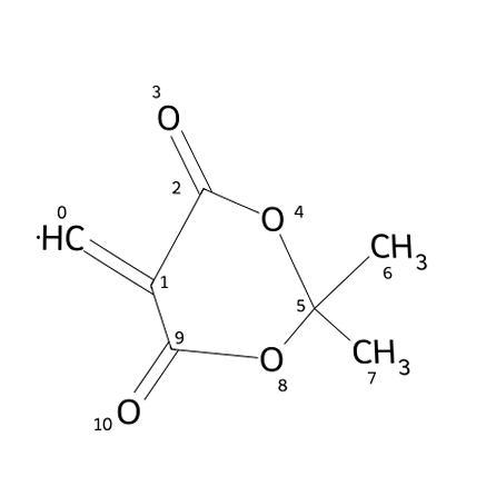 [CH]=C1C(=O)OC(C)(C)OC1=O